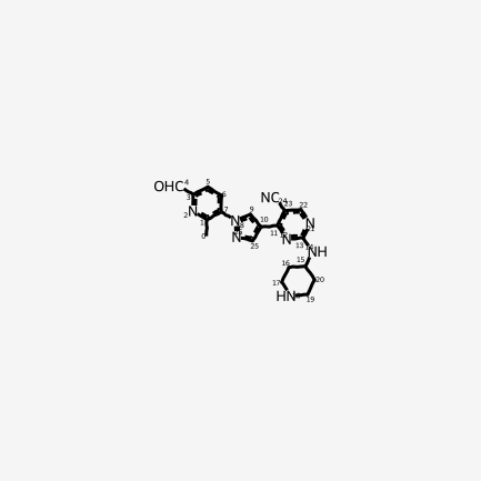 Cc1nc(C=O)ccc1-n1cc(-c2nc(NC3CCNCC3)ncc2C#N)cn1